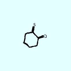 O=C1CCCCC1=S